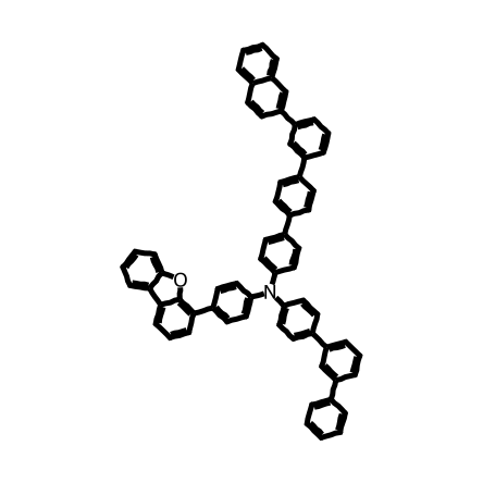 c1ccc(-c2cccc(-c3ccc(N(c4ccc(-c5ccc(-c6cccc(-c7ccc8ccccc8c7)c6)cc5)cc4)c4ccc(-c5cccc6c5oc5ccccc56)cc4)cc3)c2)cc1